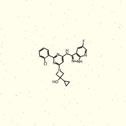 OC1(C2CC2)CN(c2cc(Nc3n[nH]c4ncc(F)cc34)nc(-c3ccccc3Cl)n2)C1